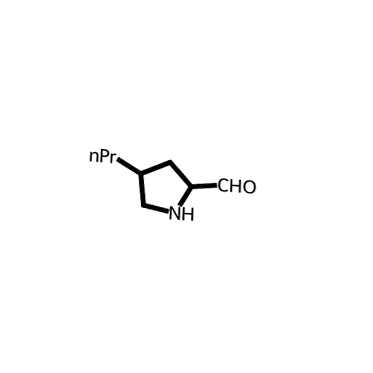 CCCC1CNC(C=O)C1